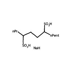 [CH2]CCC(CCC(CCCCC)S(=O)(=O)O)S(=O)(=O)O.[NaH]